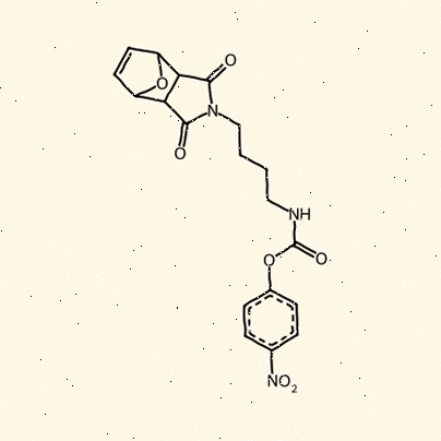 O=C(NCCCCN1C(=O)C2C3C=CC(O3)C2C1=O)Oc1ccc([N+](=O)[O-])cc1